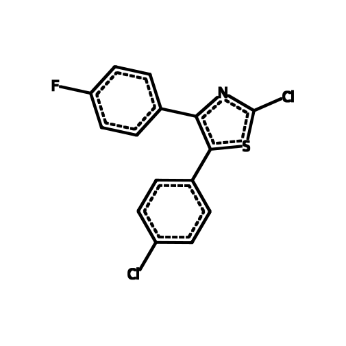 Fc1ccc(-c2nc(Cl)sc2-c2ccc(Cl)cc2)cc1